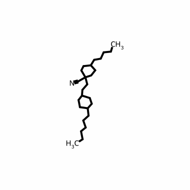 CCCCCCC1CCC(CCC2(C#N)CCC(CCCCC)CC2)CC1